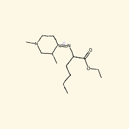 CCCCC(/N=C1/CCN(C)CC1C)C(=O)OCC